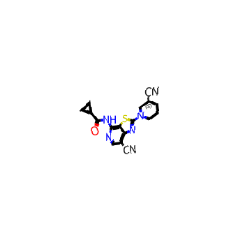 N#Cc1cnc(NC(=O)C2CC2)c2sc(N3CCC[C@H](C#N)C3)nc12